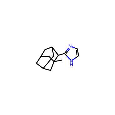 CC12CC3CC(CC(C3)C1c1ncc[nH]1)C2